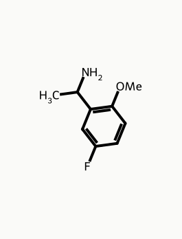 COc1ccc(F)cc1C(C)N